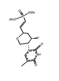 COP(=O)(/C=C/C1C[C@@H](F)[C@H](n2cc(C)c(=O)[nH]c2=O)CO1)OC